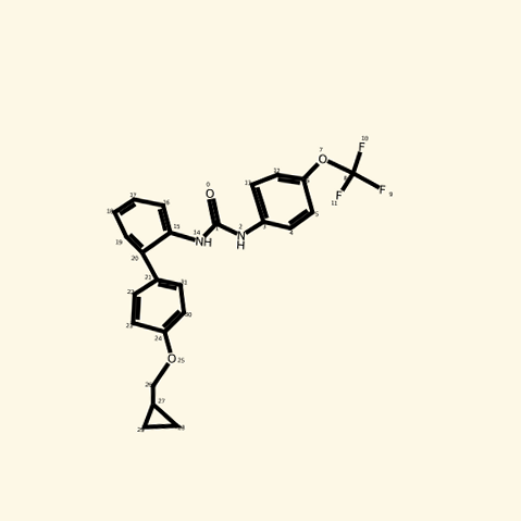 O=C(Nc1ccc(OC(F)(F)F)cc1)Nc1ccccc1-c1ccc(OCC2CC2)cc1